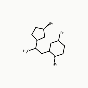 CC(C)C1CCN(C(C)C)C(CC(C)N2CC[C@@H](C(C)C)C2)C1